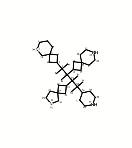 CC(C)(C1CC2(CCCNC2)C1)C(C)(C1CC2(CCNCC2)C1)C(C)(C1CC2(CCNC2)C1)C(C)(C)C1CCNCC1